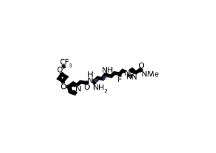 CNC(=O)c1cn(CC(F)CC/C(N)=C/C=C(\N)NC(=O)Cc2cc(OC3CC(OCC(F)(F)F)C3)ccn2)nn1